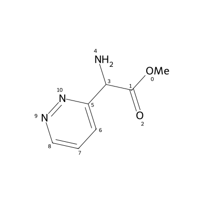 COC(=O)C(N)c1cccnn1